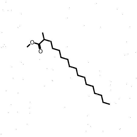 CCCCCCCCCCCCCCCC(C)C(=O)OC